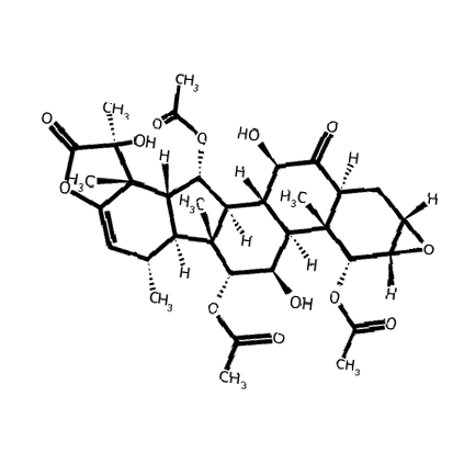 CC(=O)O[C@@H]1[C@H]2[C@H]3[C@H]([C@@H](O)[C@H](OC(C)=O)[C@]2(C)[C@@H]2[C@@H]1[C@]1(C)C(=C[C@H]2C)OC(=O)[C@@]1(C)O)[C@]1(C)[C@H](C[C@@H]2O[C@@H]2[C@@H]1OC(C)=O)C(=O)[C@@H]3O